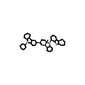 CC12C=CC(c3ccc4c(c3)c3ccccc3n4-c3ccccc3)=CC1c1ccccc1N2c1cccc2c1sc1ccccc12